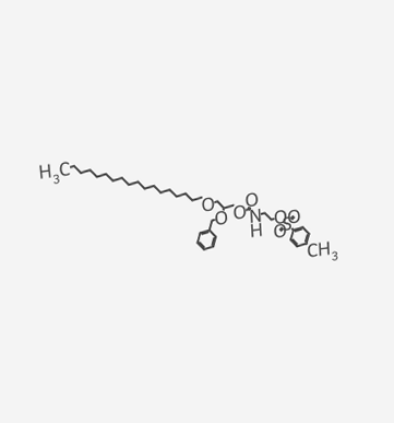 CCCCCCCCCCCCCCCCCCOCC(COC(=O)NCCOS(=O)(=O)c1ccc(C)cc1)OCc1ccccc1